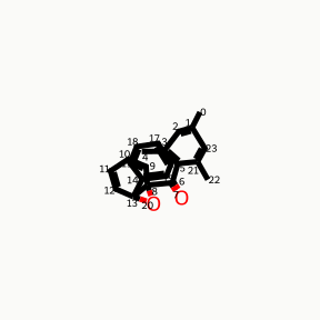 Cc1cc(C)c(C(=O)C23C=CC=CC2(c2ccccc2)O3)c(C)c1